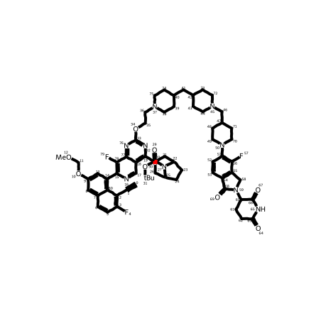 C#Cc1c(F)ccc2cc(OCOC)cc(-c3ncc4c(N5CC6CCC(C5)N6C(=O)OC(C)(C)C)nc(OCCN5CCC(CC6CCN(CC7CCN(c8ccc9c(c8F)CN(C8CCC(=O)NC8=O)C9=O)CC7)CC6)CC5)nc4c3F)c12